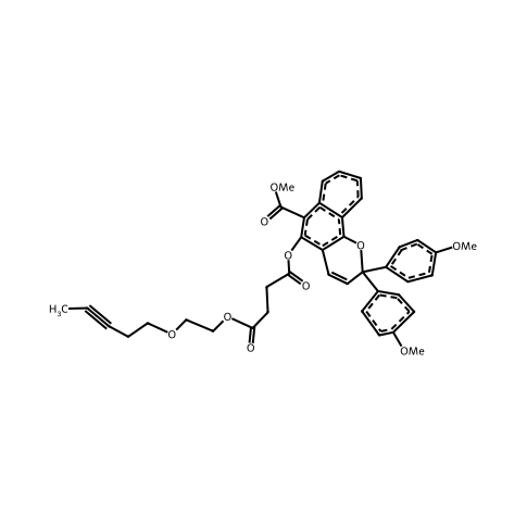 CC#CCCOCCOC(=O)CCC(=O)Oc1c2c(c3ccccc3c1C(=O)OC)OC(c1ccc(OC)cc1)(c1ccc(OC)cc1)C=C2